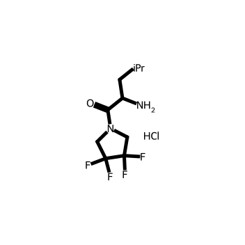 CC(C)CC(N)C(=O)N1CC(F)(F)C(F)(F)C1.Cl